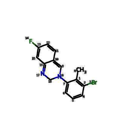 Cc1c(Br)cccc1N1C=c2ccc(F)cc2=NC1